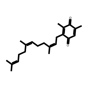 CC(C)=CCCC(C)=CCCC(C)=CCC1=C(C)C(=O)C(C)=CC1=O